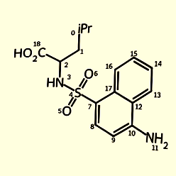 CC(C)CC(NS(=O)(=O)c1ccc(N)c2ccccc12)C(=O)O